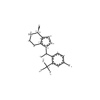 CC(c1ccc(F)cc1C(F)(F)F)n1nnc2c1CCN[C@H]2C